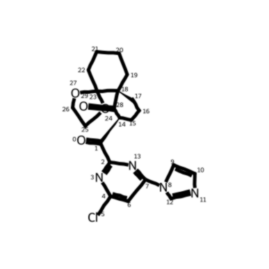 O=C(c1nc(Cl)cc(-n2ccnc2)n1)[C@@H]1CCC[C@@]2(CCCCC23OCCO3)C1=O